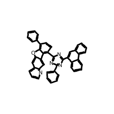 c1ccc(-c2nc(-c3cc4ccccc4c4ccccc34)nc(-c3ccc(-c4ccccc4)c4oc5cc6cccnc6cc5c34)n2)cc1